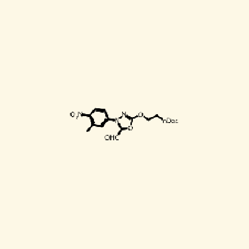 CCCCCCCCCCCCOC1=NN(c2ccc([N+](=O)[O-])c(C)c2)C(C=O)O1